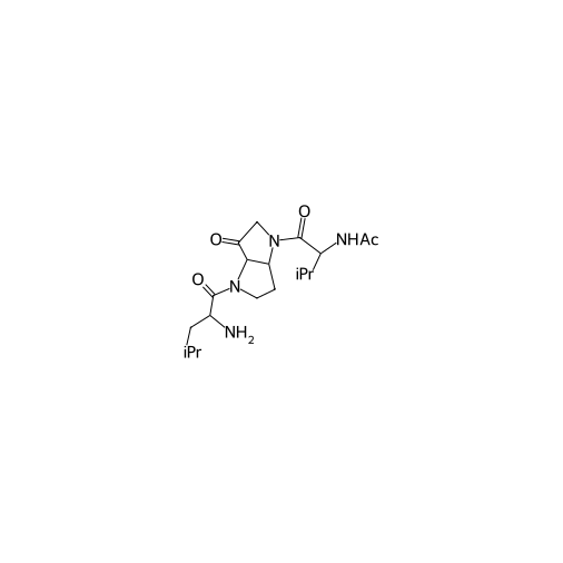 CC(=O)NC(C(=O)N1CC(=O)C2C1CCN2C(=O)C(N)CC(C)C)C(C)C